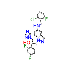 C[C@@H](n1ncc2cc(NCc3c(F)cccc3Cl)ccc21)[C@](O)(Cn1cncn1)c1ccc(F)cc1F